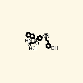 Cl.O=C1CC(=O)N(c2ccc(-n3ccnc3CCc3cccc(O)c3)cc2)c2ccc3ccccc3c2N1